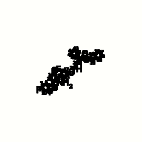 Nc1c(C(=O)c2ccc(F)cc2F)ccc(=O)n1-c1c(F)cc(OCCCN[C@@H](C(=O)OC2Cc3ccccc3C2)c2ccccc2)cc1F